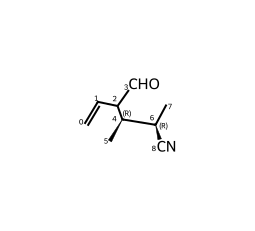 C=CC(C=O)[C@H](C)[C@@H](C)C#N